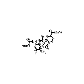 COC(=O)c1ccc(C2CC2)c(S(=O)(=O)Nc2cc(C(F)(F)F)c(Cl)cc2NC(=O)OC(C)(C)C)c1